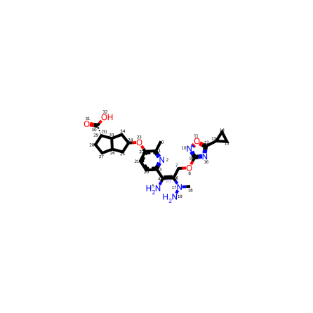 Cc1nc(/C(N)=C(\COc2noc(C3CC3)n2)N(C)N)ccc1OC1CC2CC[C@H](C(=O)O)C2C1